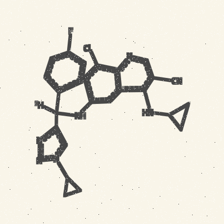 [2H]C(Nc1cc(Cl)c2ncc(C#N)c(NC3CC3)c2c1)(c1ccc(F)cc1)c1cn(C2CC2)nn1